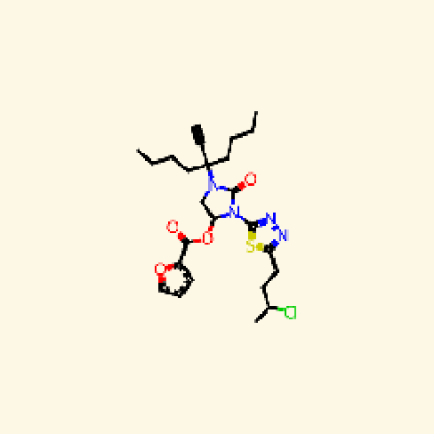 C#CC(CCCC)(CCCC)N1CC(OC(=O)c2ccco2)N(c2nnc(CCC(C)Cl)s2)C1=O